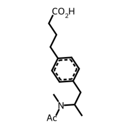 CC(=O)N(C)C(C)Cc1ccc(CCCC(=O)O)cc1